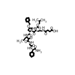 CCCC(NC(=O)[C@@H]1C[C@@H](OCc2ccccc2)CN1C(=O)[C@H](CCCNC(=O)CCC(=O)O)NC(=O)OCC(C)C)C(=O)C(=O)NCC(=O)N[C@H](C(N)=O)c1ccccc1